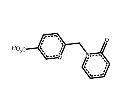 O=C(O)c1ccc(Cn2ccccc2=O)nc1